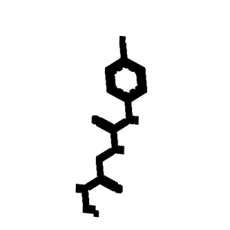 NNC(=O)CNC(=O)Nc1ccc(F)cc1